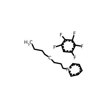 CCCCCCCC[n+]1ccccc1.Fc1cc(F)c(F)c(F)c1F